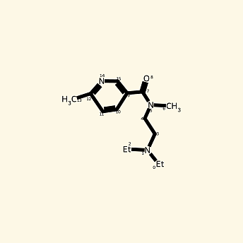 CCN(CC)CCN(C)C(=O)c1ccc(C)nc1